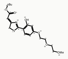 CCCCOC(=O)/C=C1/CSC(c2ccc(OCCOCCOC)cc2O)=N1